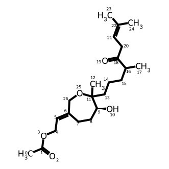 CC(=O)OC/C=C1\CC[C@H](O)C(C)(CCCC(C)C(=O)CC=C(C)C)OC1